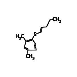 CCC/C=C/Sc1ccc(C)cc1C